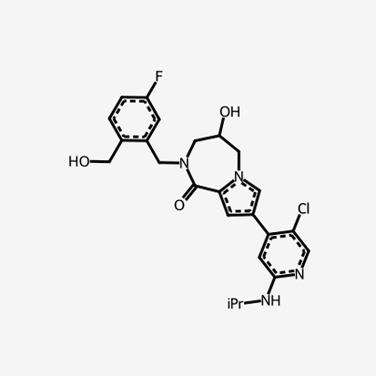 CC(C)Nc1cc(-c2cc3n(c2)CC(O)CN(Cc2cc(F)ccc2CO)C3=O)c(Cl)cn1